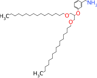 CCCCCCCCCCCCCCCCOCC(COCCCCCCCCCCCCCCCC)Oc1cccc(CN)c1